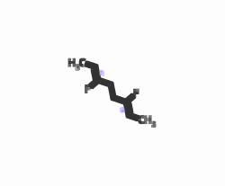 C/C=C(\F)CC/C(F)=C/C